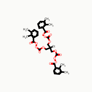 CCC(COC(=O)OOC(=O)c1cccc(C)c1C)(COC(=O)OOC(=O)c1cccc(C)c1C)COC(=O)OOC(=O)c1cccc(C)c1C